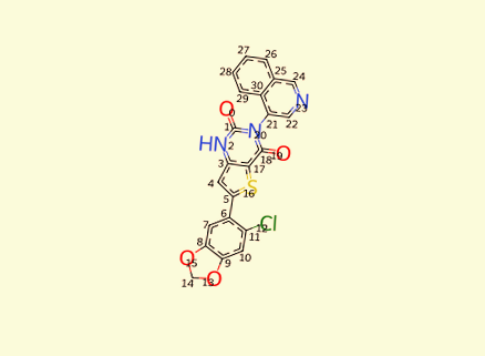 O=c1[nH]c2cc(-c3cc4c(cc3Cl)OCO4)sc2c(=O)n1-c1cncc2ccccc12